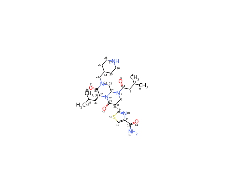 CC(C)CC(=O)N1C[C@H](c2nc(C(N)=O)cs2)C(=O)N2C1CN(CC1CCNCC1)C(=O)[C@@H]2CC(C)C